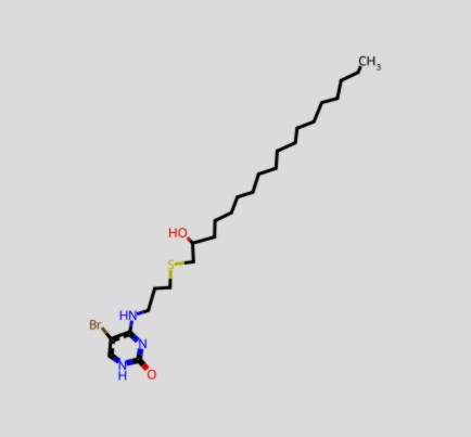 CCCCCCCCCCCCCCCCC(O)CSCCCNc1nc(=O)[nH]cc1Br